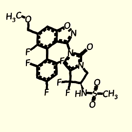 COCc1cc2onc(-n3cc4n(c3=O)C[C@@H](NS(C)(=O)=O)C4(F)F)c2c(-c2c(F)cc(F)cc2F)c1F